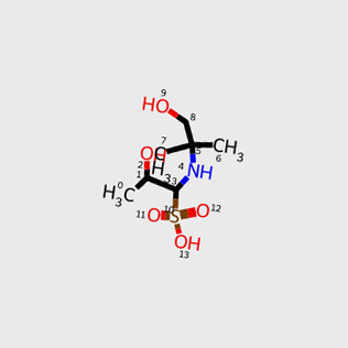 CC(O)C(NC(C)(C)CO)S(=O)(=O)O